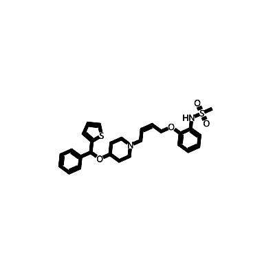 CS(=O)(=O)Nc1ccccc1OC/C=C\CN1CCC(OC(c2ccccc2)c2cccs2)CC1